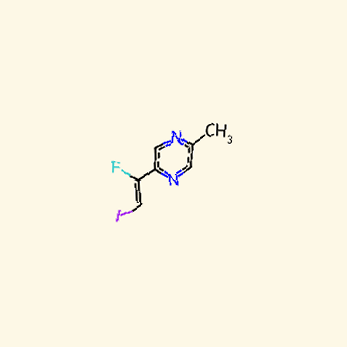 Cc1cnc(/C(F)=C/I)cn1